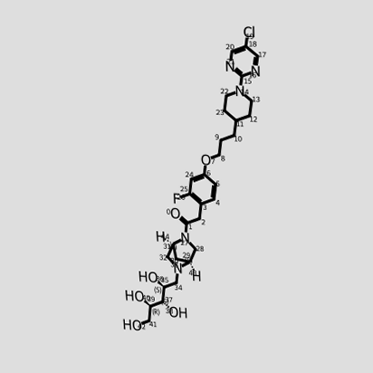 O=C(Cc1ccc(OCCCC2CCN(c3ncc(Cl)cn3)CC2)cc1F)N1C[C@@H]2C[C@H]1CN2C[C@H](O)[C@H](O)[C@H](O)CO